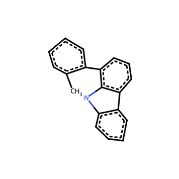 Cc1ccccc1-c1cccc2c1[N]c1ccccc1-2